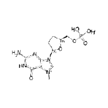 C[n+]1cn([C@H]2CC[C@@H](COP(=O)(O)O)O2)c2nc(N)[nH]c(=O)c21